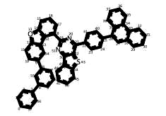 c1ccc(-c2cccc(-c3ccc4oc5cccc(-c6nc(-c7ccc(-c8cc9ccccc9c9ccccc89)cc7)c7sc8ccccc8c7n6)c5c4c3)c2)cc1